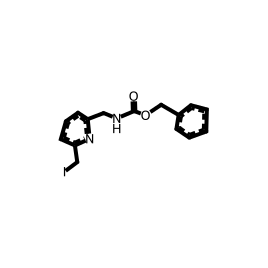 O=C(NCc1cccc(CI)n1)OCc1ccccc1